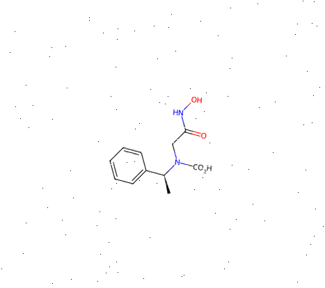 C[C@@H](c1ccccc1)N(CC(=O)NO)C(=O)O